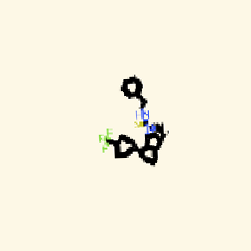 C[C@H]1C2CCN(C(=S)NCCc3ccccc3)C1c1c(-c3ccc(C(F)(F)F)cc3)cccc12